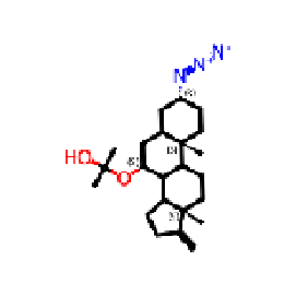 C=C1CCC2C3C(CC[C@]12C)[C@@]1(C)CC[C@@H](N=[N+]=[N-])CC1C[C@@H]3OC(C)(C)O